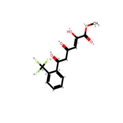 COC(=O)/C(O)=C/C(=O)CC(=O)c1ccccc1C(F)(F)F